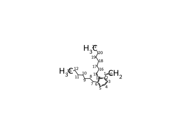 C=Cc1cccc(CCCCCCC)c1CCCCCCC